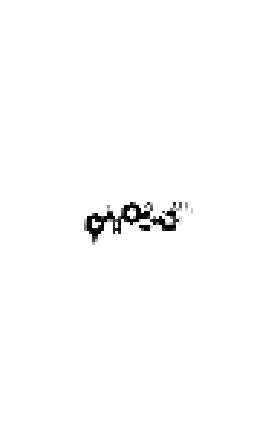 Cc1nccc(N2CC[C@]3(CCC[C@H](NC(=O)c4cccc(F)c4)C3)C2=O)n1